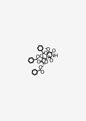 COc1cn([C@@H]2O[C@H](COC(=O)c3ccccc3)[C@@H](OC(=O)c3ccccc3)[C@H]2OC(=O)c2ccccc2)c(=O)[nH]c1=O